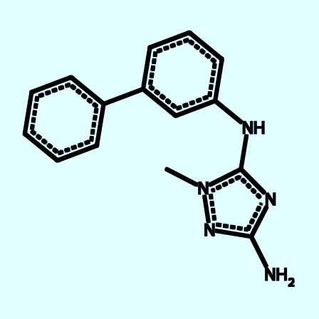 Cn1nc(N)nc1Nc1cccc(-c2ccccc2)c1